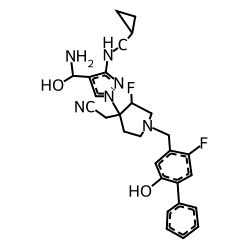 N#CCC1(n2cc(C(N)O)c(NCC3CC3)n2)CCN(Cc2cc(O)c(-c3ccccc3)cc2F)CC1F